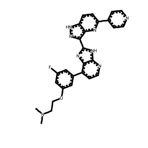 CN(C)CCOc1cc(F)cc(-c2ccnc3[nH]c(-c4n[nH]c5ccc(-c6ccncc6)nc45)nc23)c1